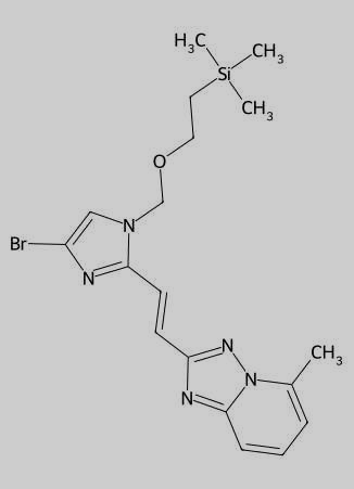 Cc1cccc2nc(C=Cc3nc(Br)cn3COCC[Si](C)(C)C)nn12